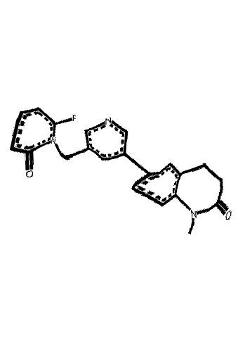 CN1C(=O)CCc2cc(-c3cncc(Cn4c(F)cccc4=O)c3)ccc21